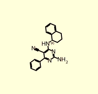 N#Cc1c(N[C@@H]2CCCc3ccccc32)nc(N)nc1-c1ccccc1